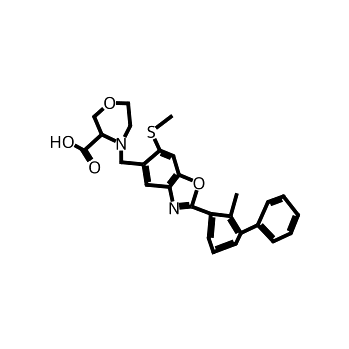 CSc1cc2oc(-c3cccc(-c4ccccc4)c3C)nc2cc1CN1CCOCC1C(=O)O